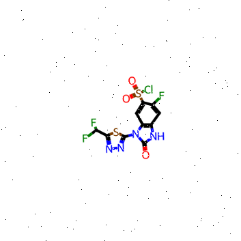 O=c1[nH]c2cc(F)c(S(=O)(=O)Cl)cc2n1-c1nnc(C(F)F)s1